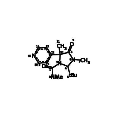 CNC(=O)N1C(C(C)(C)C)N(C)C(=O)C1(C)c1ccncc1